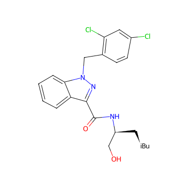 CC[C@H](C)C[C@@H](CO)NC(=O)c1nn(Cc2ccc(Cl)cc2Cl)c2ccccc12